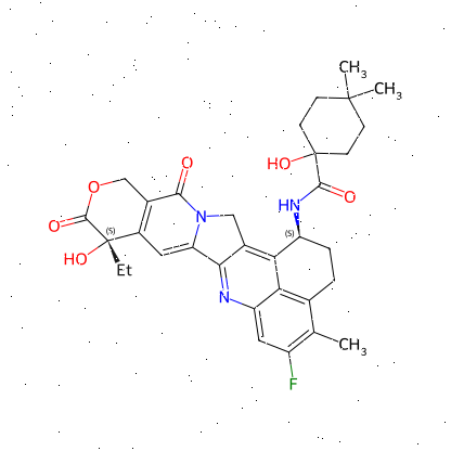 CC[C@@]1(O)C(=O)OCc2c1cc1n(c2=O)Cc2c-1nc1cc(F)c(C)c3c1c2[C@@H](NC(=O)C1(O)CCC(C)(C)CC1)CC3